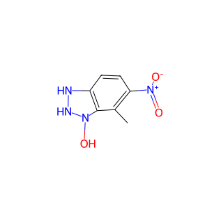 Cc1c([N+](=O)[O-])ccc2c1N(O)NN2